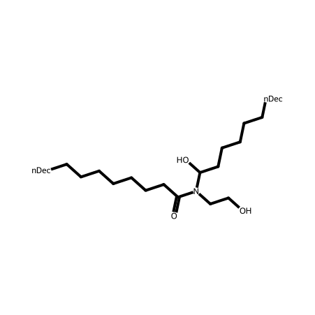 CCCCCCCCCCCCCCCCCC(=O)N(CCO)C(O)CCCCCCCCCCCCCCC